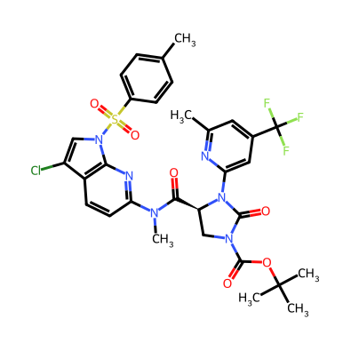 Cc1ccc(S(=O)(=O)n2cc(Cl)c3ccc(N(C)C(=O)[C@@H]4CN(C(=O)OC(C)(C)C)C(=O)N4c4cc(C(F)(F)F)cc(C)n4)nc32)cc1